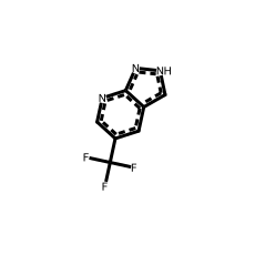 FC(F)(F)c1cnc2n[nH]cc2c1